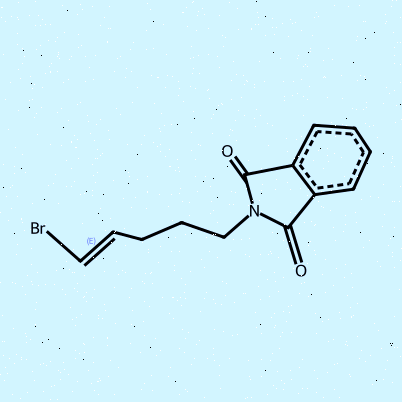 O=C1c2ccccc2C(=O)N1CCC/C=C/Br